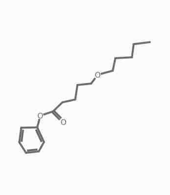 CCCCCOCCCCC(=O)Oc1ccccc1